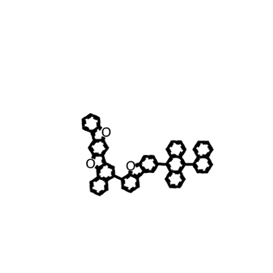 c1ccc2c(-c3c4ccccc4c(-c4ccc5oc6c(-c7cc8c9cc%10oc%11ccccc%11c%10cc9oc8c8ccccc78)cccc6c5c4)c4ccccc34)cccc2c1